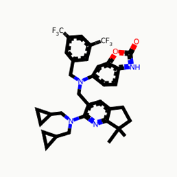 CC1(C)CCc2cc(CN(Cc3cc(C(F)(F)F)cc(C(F)(F)F)c3)c3ccc4[nH]c(=O)oc4c3)c(N(CC3CC3)CC3CC3)nc21